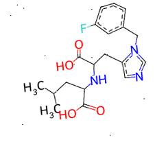 CC(C)CC(NC(Cc1cncn1Cc1cccc(F)c1)C(=O)O)C(=O)O